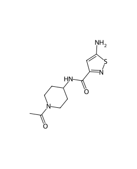 CC(=O)N1CCC(NC(=O)c2cc(N)sn2)CC1